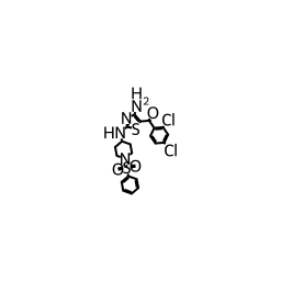 Nc1nc(NC2CCN(S(=O)(=O)c3ccccc3)CC2)sc1C(=O)c1ccc(Cl)cc1Cl